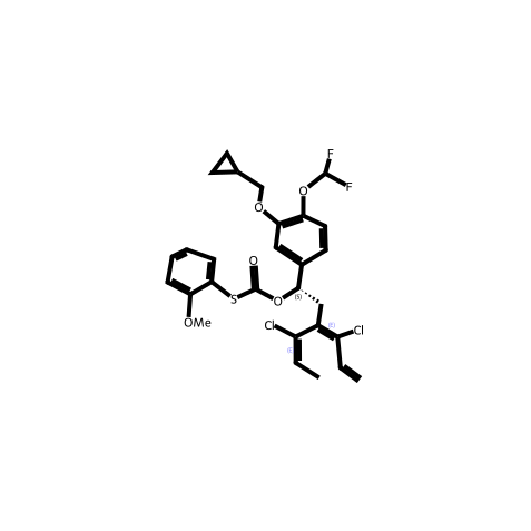 C=C/C(Cl)=C(C[C@H](OC(=O)Sc1ccccc1OC)c1ccc(OC(F)F)c(OCC2CC2)c1)\C(Cl)=C/C